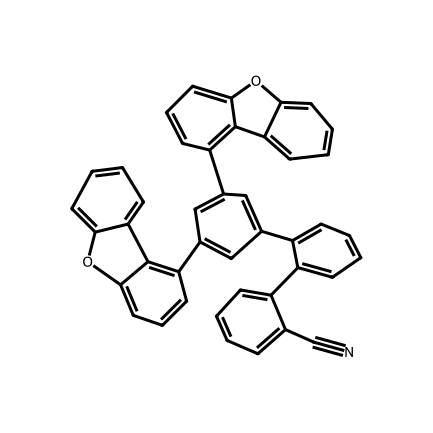 N#Cc1ccccc1-c1ccccc1-c1cc(-c2cccc3oc4ccccc4c23)cc(-c2cccc3oc4ccccc4c23)c1